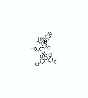 O=C(Cc1cccs1)NC1C(=O)N2C(C(=O)O)=C(COC(=O)Oc3cc(Cl)ccc3Oc3ccc(Cl)cc3Cl)C(=O)S[C@@H]12